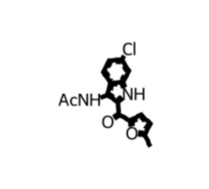 CC(=O)Nc1c(C(=O)c2ccc(C)o2)[nH]c2cc(Cl)ccc12